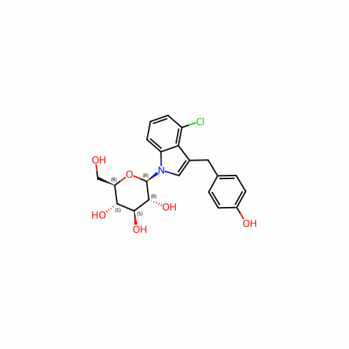 OC[C@H]1O[C@@H](n2cc(Cc3ccc(O)cc3)c3c(Cl)cccc32)[C@H](O)[C@@H](O)[C@@H]1O